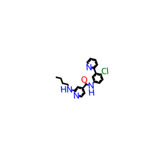 CCCCNc1cc(C(=O)Nc2ccc(Cl)c(-c3ccccn3)c2)ccn1